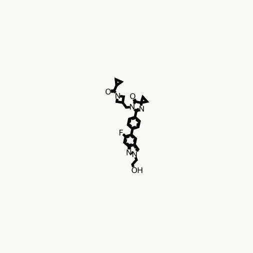 O=C(C1CC1)N1CC(CN2C(=O)C3(CC3)N=C2c2ccc(-c3cc4cn(CCO)nc4cc3F)cc2)C1